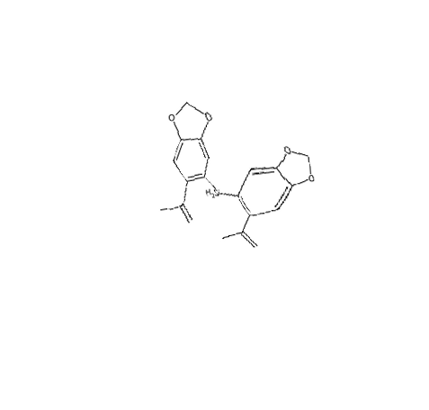 C=C(C)c1cc2c(cc1[SiH2]c1cc3c(cc1C(=C)C)OCO3)OCO2